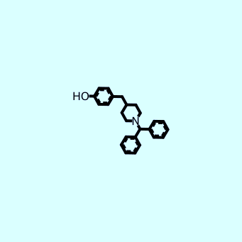 Oc1ccc(CC2CCN(C(c3ccccc3)c3ccccc3)CC2)cc1